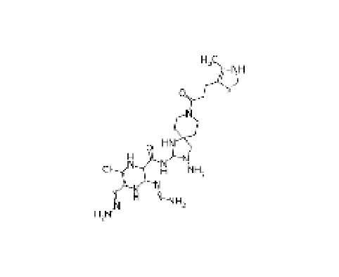 CC1=C(CCC(=O)N2CCC3(CC2)CN(N)C(NC(=O)C2NC(Cl)=C(N=NN)NC2N=NN)N3)SCN1